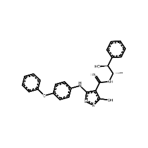 C[C@H](NC(=N)c1c(O)nsc1Nc1ccc(Oc2ccccc2)cc1)[C@@H](O)c1ccccc1